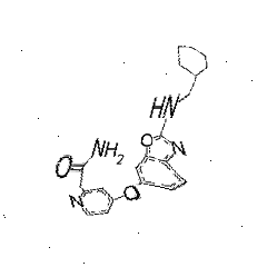 NC(=O)c1cc(Oc2ccc3nc(NCC4CCCCC4)oc3c2)ccn1